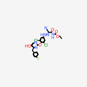 CCOC(=O)NC(=O)/C(C#N)=N/Nc1cc(Cl)c(Oc2ncc(O)c(Cc3ccc(F)cc3)n2)c(Cl)c1